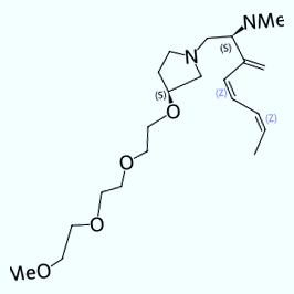 C=C(/C=C\C=C/C)[C@@H](CN1CC[C@H](OCCOCCOCCOC)C1)NC